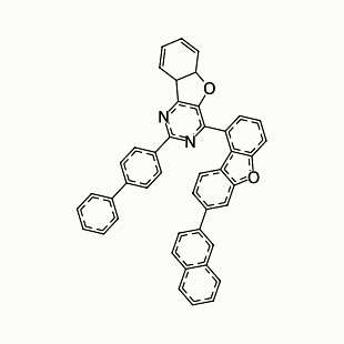 C1=CC2Oc3c(-c4cccc5oc6cc(-c7ccc8ccccc8c7)ccc6c45)nc(-c4ccc(-c5ccccc5)cc4)nc3C2C=C1